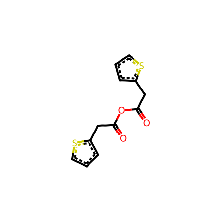 O=C(Cc1cccs1)OC(=O)Cc1cccs1